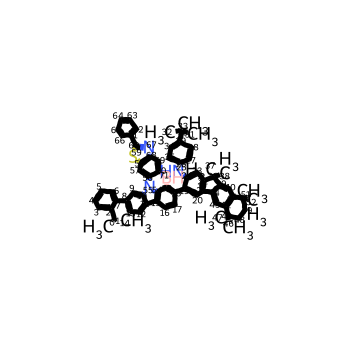 CCc1ccccc1-c1cc2c(cc1C)c1ccc(-c3cc4c(cc3Nc3ccc(C(C)(C)C)cc3)C(C)(C)c3cc5c(cc3-4)C(C)(C)CCC5(C)C)c3c1n2-c1cc2sc(-c4ccccc4)nc2cc1B3